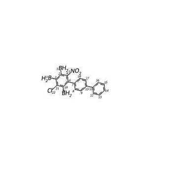 Bc1c(B)c([N+](=O)[O-])c(-c2ccc(-c3ccccc3)cc2)c(B)c1Cl